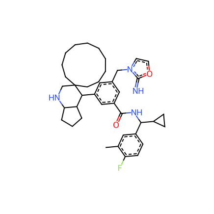 Cc1cc(C(NC(=O)c2cc(Cn3ccoc3=N)cc(C3C4CCCC4NCC34CCCCCCCCCC4)c2)C2CC2)ccc1F